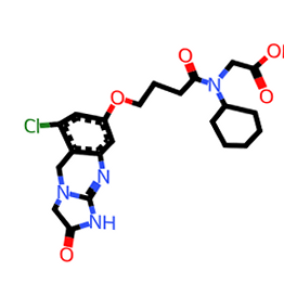 O=C(O)CN(C(=O)CCCOc1cc(Cl)c2c(c1)N=C1NC(=O)CN1C2)C1CCCCC1